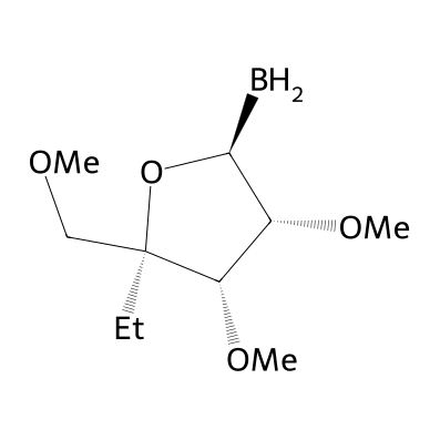 B[C@@H]1O[C@](CC)(COC)[C@@H](OC)[C@H]1OC